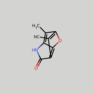 Cc1c2c3oc1c(C#N)c3C(=O)N2